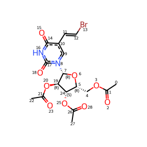 CC(=O)OC[C@H]1O[C@@H](n2cc(C=CBr)c(=O)[nH]c2=O)[C@H](OC(C)=O)[C@H]1OC(C)=O